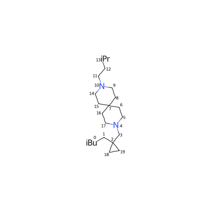 CCC(C)CC1(CN2CCC3(CCN(CCC(C)C)CC3)CC2)CC1